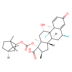 C[C@@H]1C[C@H]2[C@@H]3C[C@H](F)C4=CC(=O)C=C[C@]4(C)C3(F)[C@@H](O)C[C@]2(C)[C@]1(OC(=O)OC1C[C@H]2CCC1(C)C2(C)C)C(=O)O